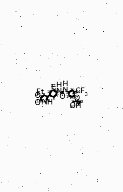 CCOc1cc(-c2ccc(NC(=O)Nc3ccc(OC4(CO)CC4)c(C(F)(F)F)c3)c(F)c2)c[nH]c1=O